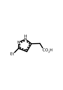 CCc1cc(CC(=O)O)[nH]n1